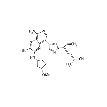 C=C/C(=C\C=C(/C)C#N)n1cc(-c2cnc(N)c3nc(CC)c(N[C@@H]4CC[C@H](OC)C4)nc23)cn1